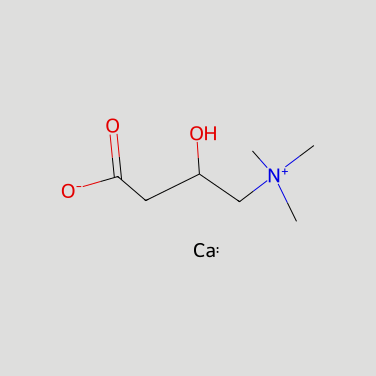 C[N+](C)(C)CC(O)CC(=O)[O-].[Ca]